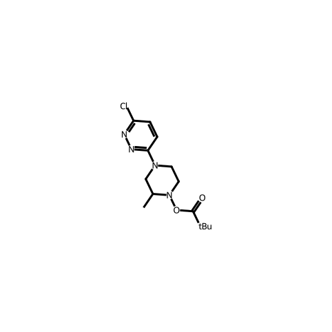 CC1CN(c2ccc(Cl)nn2)CCN1OC(=O)C(C)(C)C